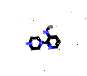 CCCNc1cccnc1N1CCNCC1